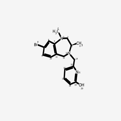 C[C@@H]1CN(C)c2cc(Br)ccc2CN1Cc1cccc(O)n1